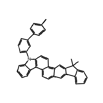 Cc1ccc(-c2cccc(-n3c4ccccc4c4c5ccc6cc7c(cc6c5ccc43)C(C)(C)c3ccccc3-7)c2)cc1